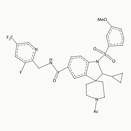 COc1cccc(S(=O)(=O)N2c3ccc(C(=O)NCc4ncc(C(F)(F)F)cc4F)cc3C3(CCN(C(C)=O)CC3)C2C2CC2)c1